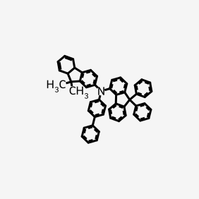 CC1(C)c2cc(N(c3ccc(-c4ccccc4)cc3)c3cccc4c3-c3ccccc3C4(c3ccccc3)c3ccccc3)ccc2C2C=CC=CC21